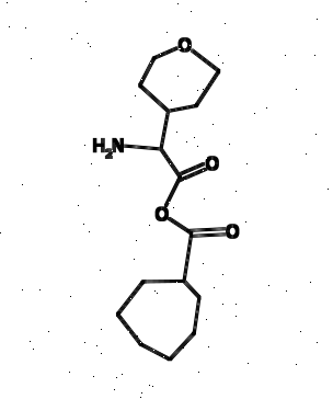 NC(C(=O)OC(=O)C1CCCCCC1)C1CCOCC1